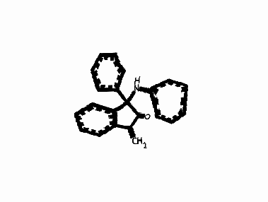 C=C1C(=O)C(Nc2ccccc2)(c2ccccc2)c2ccccc21